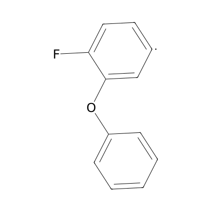 Fc1cc[c]cc1Oc1ccccc1